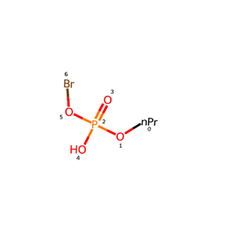 CCCOP(=O)(O)OBr